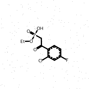 CCOP(=O)(O)CC(=O)c1ccc(F)cc1Cl